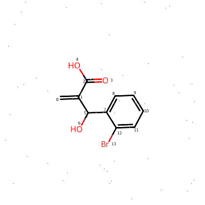 C=C(C(=O)O)C(O)c1ccccc1Br